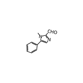 Cn1c(-c2ccccc2)cnc1C=O